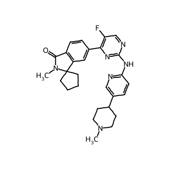 CN1CCC(c2ccc(Nc3ncc(F)c(-c4ccc5c(c4)C4(CCCC4)N(C)C5=O)n3)nc2)CC1